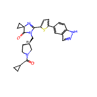 O=C(C1CC1)N1CC[C@@H](CN2C(=O)C3(CC3)N=C2c2ccc(-c3ccc4[nH]ncc4c3)s2)C1